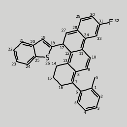 Cc1ccccc1C1=c2ccc3c(c2CCC1)C(c1cc2ccccc2s1)C=c1ccc(F)cc1=3